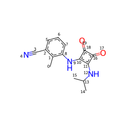 Cc1c(C#N)cccc1Nc1c(NC(C)C)c(=O)c1=O